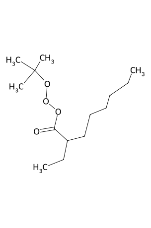 CCCCCCC(CC)C(=O)OOOC(C)(C)C